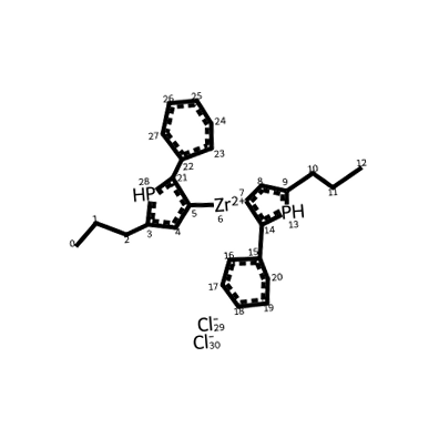 CCCc1c[c]([Zr+2][c]2cc(CCC)[pH]c2-c2ccccc2)c(-c2ccccc2)[pH]1.[Cl-].[Cl-]